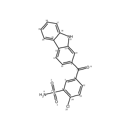 NS(=O)(=O)c1cc(C(=O)c2ccc3c(c2)[nH]c2ccccc23)ccc1Cl